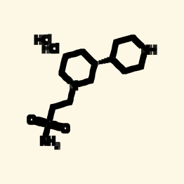 Cl.Cl.NS(=O)(=O)CCN1CCC[C@H](C2CCNCC2)C1